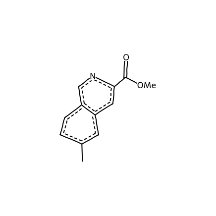 COC(=O)c1cc2cc(C)ccc2cn1